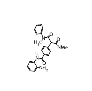 CNC(=O)C(C(=O)N(C)c1ccccc1)c1ccc(C(=O)Nc2ccccc2N)cc1